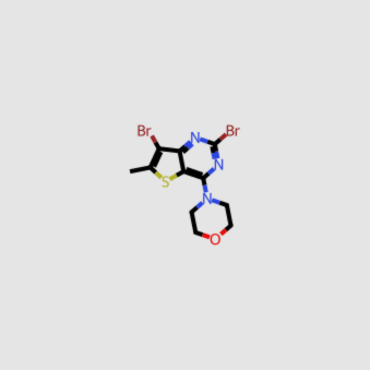 Cc1sc2c(N3CCOCC3)nc(Br)nc2c1Br